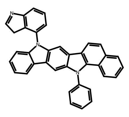 C1=Nc2cccc(-n3c4ccccc4c4cc5c(cc43)c3ccc4ccccc4c3n5-c3ccccc3)c2C1